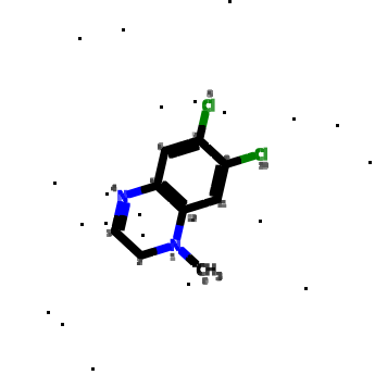 CN1CC=Nc2cc(Cl)c(Cl)cc21